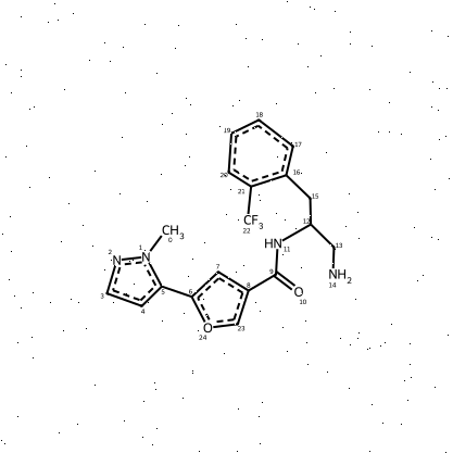 Cn1nccc1-c1cc(C(=O)NC(CN)Cc2ccccc2C(F)(F)F)co1